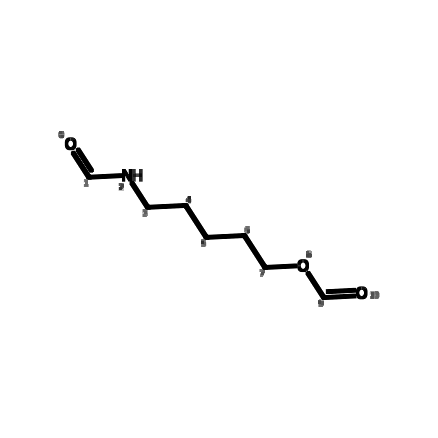 O=CNCCCCCOC=O